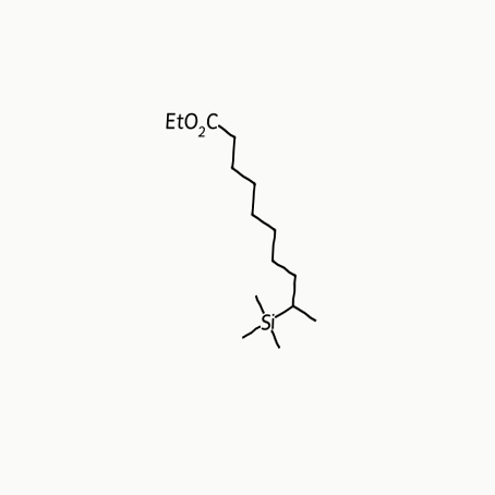 CCOC(=O)CCCCCCCC(C)[Si](C)(C)C